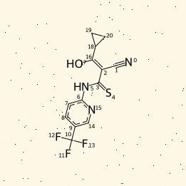 N#CC(C(=S)Nc1ccc(C(F)(F)F)cn1)=C(O)C1CC1